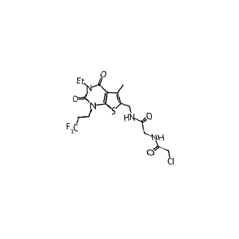 CCn1c(=O)c2c(C)c(CNC(=O)CNC(=O)CCl)sc2n(CCC(F)(F)F)c1=O